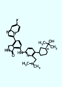 CN(C)Cc1nc(Nc2ccc(-c3cnc4cc(F)ccn34)c3c2C(=O)NC3)ccc1C1CCC[C@H](C(C)(C)O)C1